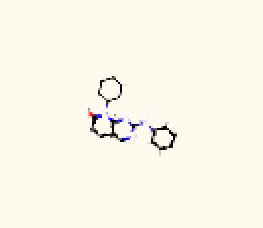 O=c1ccc2cnc(Nc3ccccc3)nc2n1C1CCCCC1